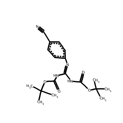 CC(C)(C)OC(=O)NC(=Nc1ccc(C#N)cc1)NC(=O)OC(C)(C)C